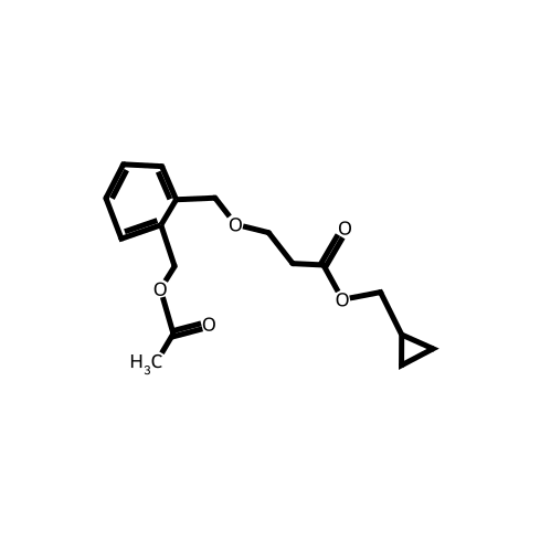 CC(=O)OCc1ccccc1COCCC(=O)OCC1CC1